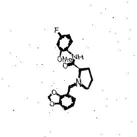 COc1cc(F)ccc1NC(=O)[C@H]1CCCN1Cc1cccc2c1OCO2